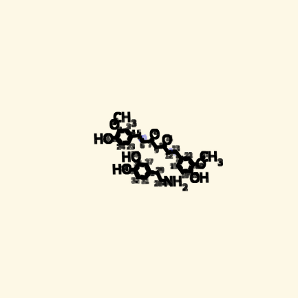 COc1cc(/C=C/C(=O)CC(=O)/C=C/c2ccc(O)c(OC)c2)ccc1O.NCCc1ccc(O)c(O)c1